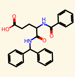 O=C(O)CCC(NC(=O)c1ccccc1)C(=O)NC(c1ccccc1)c1ccccc1